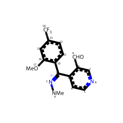 CN/N=C(\c1ccncc1C=O)c1ccc(C(F)(F)F)cc1OC